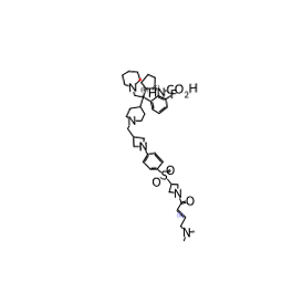 CN(C)C/C=C/C(=O)N1CC(S(=O)(=O)c2ccc(N3CC(CN4CCC(C(CN5CCCCC5)(c5cccc(F)c5)[C@H]5CCC[C@@H]5NC(=O)O)CC4)C3)cc2)C1